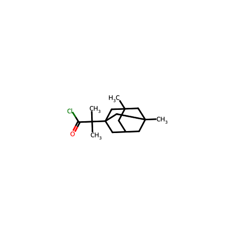 CC12CC3CC(C)(C1)CC(C(C)(C)C(=O)Cl)(C3)C2